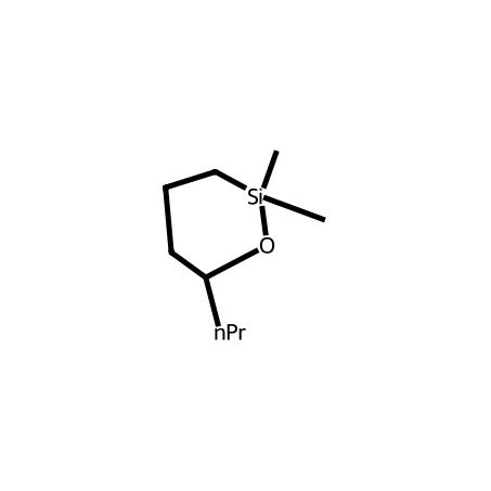 CCCC1CCC[Si](C)(C)O1